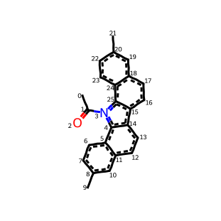 CC(=O)n1c2c3ccc(C)cc3ccc2c2ccc3cc(C)ccc3c21